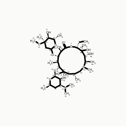 CC[C@H]1OC(=O)[C@H](C)[C@@H](OC2C[C@@](C)(OC)[C@@H](O)[C@H](C)O2)[C@H](C)[C@@H](O[C@@H]2O[C@H](C)C[C@H](N(C)C)[C@H]2O)[C@](C)(O)C[C@@H](C)CN(C)[C@H](C)[C@@H](O)[C@]1(C)O